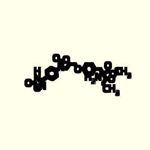 CCC(=O)C(N)(Cc1ccc(OCC2CN(c3ccc(-c4noc(=O)[nH]4)cc3)C(=O)O2)cc1)C(=O)OC